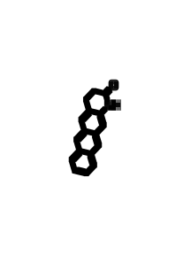 O=C1CCc2cc3cc4ccccc4cc3cc2N1